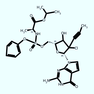 CC#CC1(Cl)C(O)[C@@H](COP(=O)(N[C@@H](C)C(=O)OC(C)C)Oc2ccccc2)O[C@H]1n1ccc2c(=O)[nH]c(N)nc21